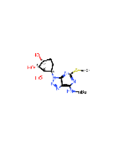 CCCCNc1nc(SCCC)nc2c1nnn2[C@@H]1CC[C@H](O)[C@@H](O)[C@H]1O